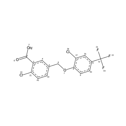 O=C(O)c1cc(COc2ccc(C(F)(F)F)cc2Cl)ccc1Cl